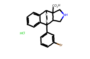 Cl.O=C(O)C12CNCC1C1(c3cccc(Br)c3)CCC2c2ccccc21